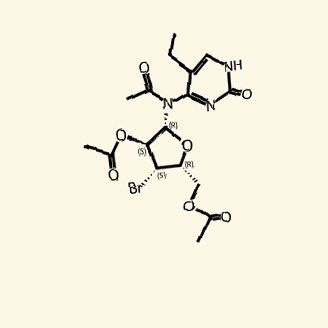 CCc1c[nH]c(=O)nc1N(C(C)=O)[C@@H]1O[C@H](COC(C)=O)[C@H](Br)[C@H]1OC(C)=O